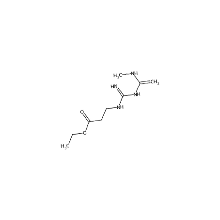 C=C(NC)NC(=N)NCCC(=O)OCC